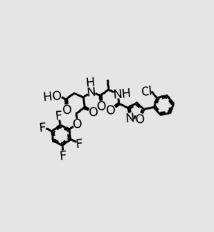 CC(NC(=O)c1cc(-c2ccccc2Cl)on1)C(=O)NC(CC(=O)O)C(=O)COc1c(F)c(F)cc(F)c1F